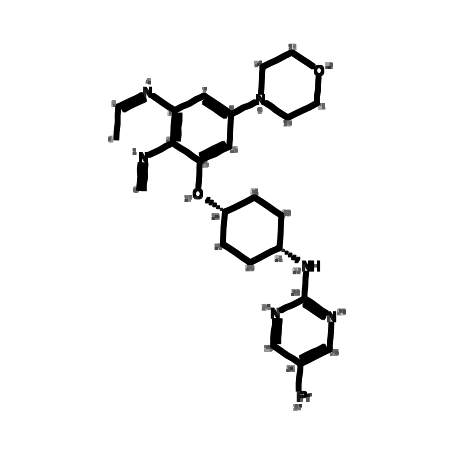 C=Nc1c(/N=C\C)cc(N2CCOCC2)cc1O[C@H]1CC[C@@H](Nc2ncc(C(C)C)cn2)CC1